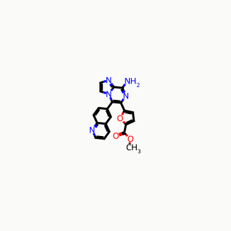 COC(=O)c1ccc(-c2nc(N)c3nccn3c2-c2ccc3ncccc3c2)o1